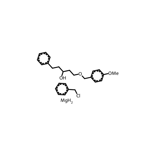 COc1ccc(COCCC(O)CCc2ccccc2)cc1.ClCc1ccccc1.[MgH2]